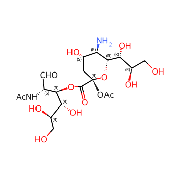 CC(=O)N[C@H](C=O)[C@@H](OC(=O)[C@]1(OC(C)=O)C[C@H](O)[C@@H](N)[C@H]([C@H](O)[C@H](O)CO)O1)[C@H](O)[C@H](O)CO